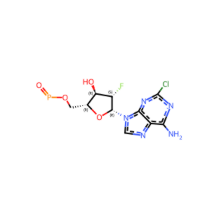 Nc1nc(Cl)nc2c1ncn2[C@@H]1O[C@H](COP=O)[C@@H](O)[C@@H]1F